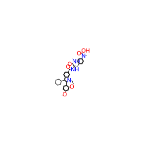 CNC(=O)[C@H](Cc1ccc(N(C)C(=O)O)cc1)NC(=O)c1ccc2c(C3CCCCC3)c3n(c2c1)CCOc1cc(OC)ccc1-3